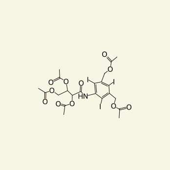 CC(=O)OCc1c(I)c(COC(C)=O)c(I)c(NC(=O)C(OC(C)=O)C(COC(C)=O)OC(C)=O)c1I